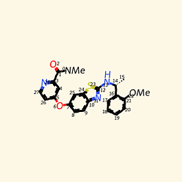 CNC(=O)c1cc(Oc2ccc3nc(N[C@H](C)c4ccccc4OC)sc3c2)ccn1